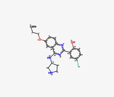 COCCOc1ccc2nc(-c3cc(F)ccc3O)nc(NC3CCNC3)c2c1